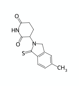 Cc1ccc2c(c1)CN(C1CCC(=O)NC1=O)C2=S